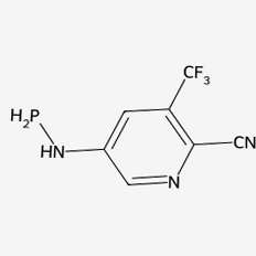 N#Cc1ncc(NP)cc1C(F)(F)F